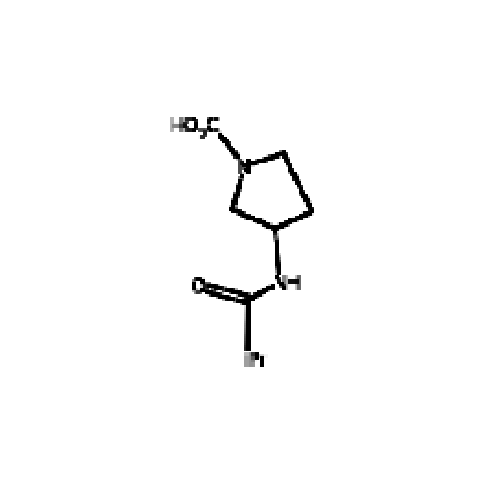 CC(C)C(=O)NC1CCN(C(=O)O)C1